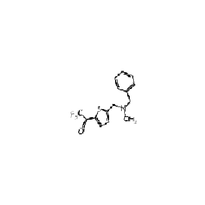 CN(Cc1ccccc1)Cc1ccc(C(=O)C(F)(F)F)s1